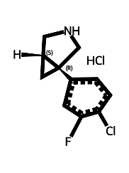 Cl.Fc1cc([C@]23CNC[C@H]2C3)ccc1Cl